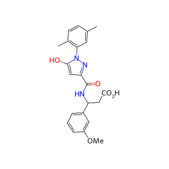 COc1cccc(C(CC(=O)O)NC(=O)c2cc(O)n(-c3cc(C)ccc3C)n2)c1